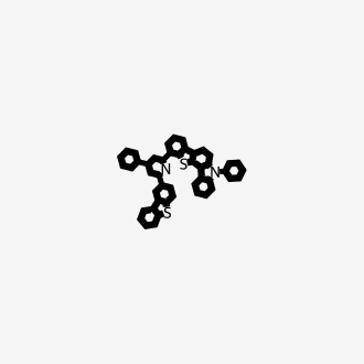 c1ccc(-c2cc(-c3ccc4sc5ccccc5c4c3)nc(-c3cccc4c3sc3c4ccc4c3c3ccccc3n4-c3ccccc3)c2)cc1